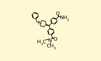 CCN(CC)C(=O)c1ccc(C(=C2CCN(Cc3ccccc3)CC2)c2ccc(C(N)=O)cc2)cc1